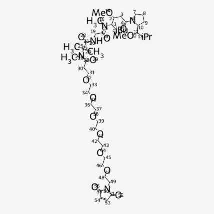 CCC(C)C(C(CC(=O)N1CCCC1C(OC)C(C)C)OC)N(C)C(=O)CNC(=O)C(C)(C)N(C)C(=O)CCOCCOCCOCCOCCOCCOCCN1C(=O)C=CC1=O